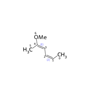 C/C=C\C=C(/C)OC